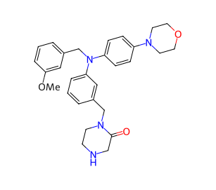 COc1cccc(CN(c2ccc(N3CCOCC3)cc2)c2cccc(CN3CCNCC3=O)c2)c1